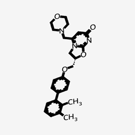 Cc1cccc(-c2ccc(OC[C@@H]3Cn4c(CN5CCOCC5)cc(=O)nc4O3)cc2)c1C